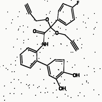 C#CCOC(OCC#C)(C(=O)Nc1ccccc1-c1ccc(O)c(O)c1)c1ccc(F)cc1